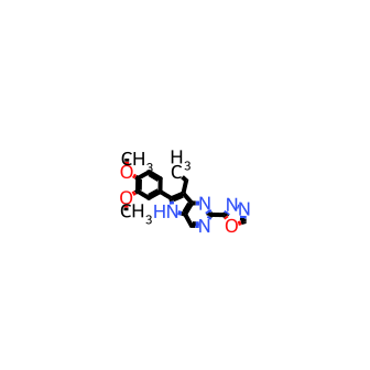 CCc1c(-c2ccc(OC)c(OC)c2)[nH]c2cnc(-c3nnco3)nc12